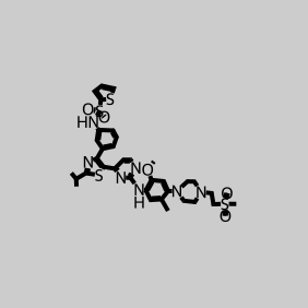 COc1cc(N2CCN(CCS(C)(=O)=O)CC2)c(C)cc1Nc1nccc(-c2sc(C(C)C)nc2-c2cccc(NS(=O)(=O)c3cccs3)c2)n1